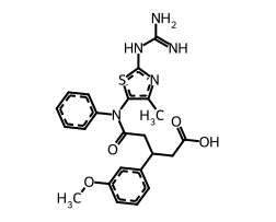 COc1cccc(C(CC(=O)O)CC(=O)N(c2ccccc2)c2sc(NC(=N)N)nc2C)c1